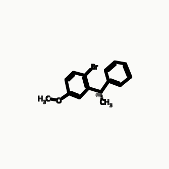 COc1ccc(Br)c([C@@H](C)c2ccccc2)c1